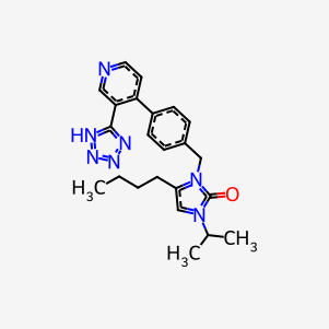 CCCCc1cn(C(C)C)c(=O)n1Cc1ccc(-c2ccncc2-c2nnn[nH]2)cc1